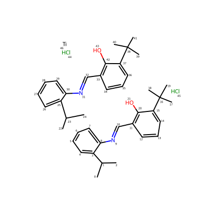 CC(C)c1ccccc1N=Cc1cccc(C(C)(C)C)c1O.CC(C)c1ccccc1N=Cc1cccc(C(C)(C)C)c1O.Cl.Cl.[Ti]